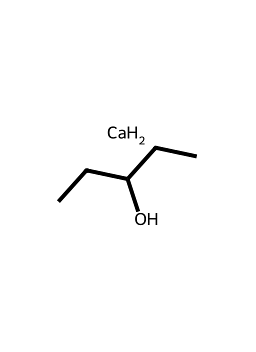 CCC(O)CC.[CaH2]